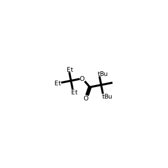 CCC(CC)(CC)OC(=O)C(C)(C(C)(C)C)C(C)(C)C